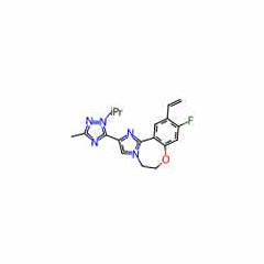 C=Cc1cc2c(cc1F)OCCn1cc(-c3nc(C)nn3C(C)C)nc1-2